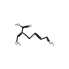 C=C/C=C/C/C(=C\C)C(=O)O